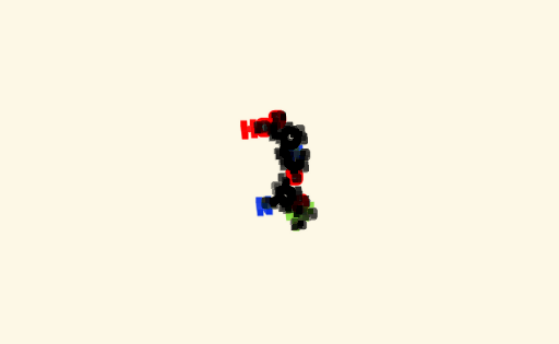 N#Cc1cc(COc2ccn3c4c(cc3c2)C(CC(=O)O)CCC4)cc(OC(F)(F)F)c1